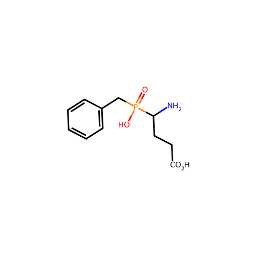 NC(CCC(=O)O)P(=O)(O)Cc1ccccc1